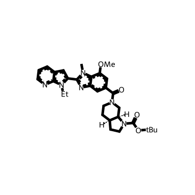 CCn1c(-c2nc3cc(C(=O)N4CC[C@@H]5CCN(C(=O)OC(C)(C)C)[C@@H]5C4)cc(OC)c3n2C)cc2cccnc21